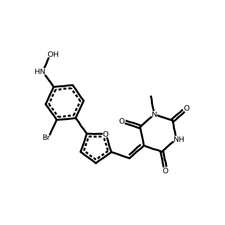 CN1C(=O)NC(=O)/C(=C/c2ccc(-c3ccc(NO)cc3Br)o2)C1=O